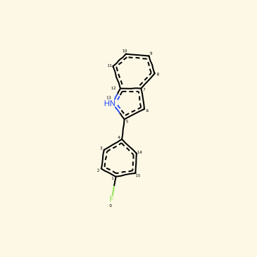 Fc1ccc(-c2cc3ccccc3[nH]2)cc1